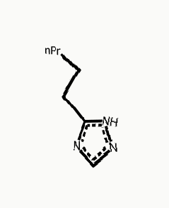 [CH2]CCCCc1ncn[nH]1